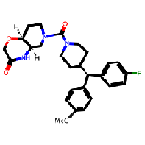 COc1ccc([C@H](c2ccc(F)cc2)C2CCN(C(=O)N3CC[C@@H]4OCC(=O)N[C@@H]4C3)CC2)cc1